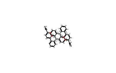 N#Cc1ccc(-c2ccccc2N2c3ccccc3N(c3ccccc3-c3ccc(C#N)cc3)c3ccccc32)cc1